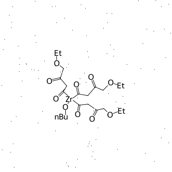 CCCC[O][Zr]([C](=O)CC(=O)COCC)([C](=O)CC(=O)COCC)[C](=O)CC(=O)COCC